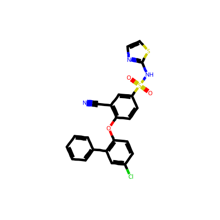 N#Cc1cc(S(=O)(=O)Nc2nccs2)ccc1Oc1ccc(Cl)cc1-c1ccccc1